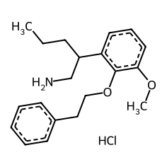 CCCC(CN)c1cccc(OC)c1OCCc1ccccc1.Cl